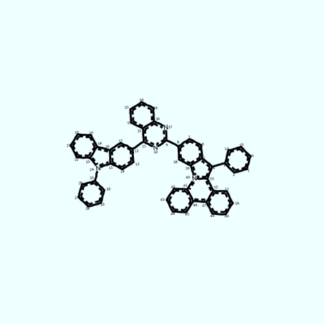 c1ccc(-c2c3ccc(-c4nc(-c5ccc6c(c5)c5ccccc5n6-c5ccccc5)c5ccccc5n4)cc3n3c4ccccc4c4ccccc4c23)cc1